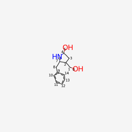 OCC1CC(O)NC1Cc1ccccc1